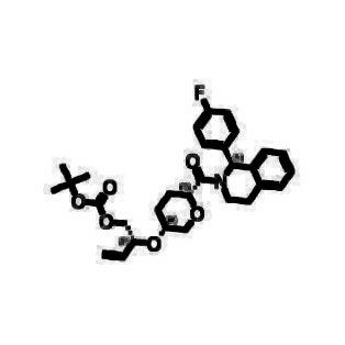 C=C[C@H](COC(=O)OC(C)(C)C)O[C@@H]1CC[C@H](C(=O)N2CCc3ccccc3[C@@H]2c2ccc(F)cc2)OC1